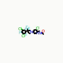 CC(=O)NCc1ccc(N2CCC(c3cc(Cl)c(F)c(Cl)c3F)(C(F)(F)F)C2)cc1Cl